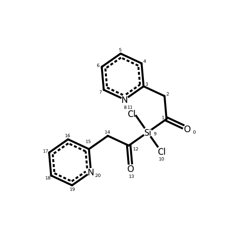 O=C(Cc1ccccn1)[Si](Cl)(Cl)C(=O)Cc1ccccn1